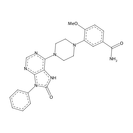 COc1ccc(C(N)=O)cc1N1CCN(c2ncnc3c2[nH]c(=O)n3-c2ccccc2)CC1